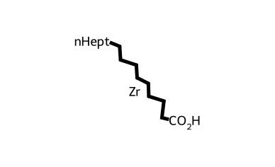 CCCCCCCCCCCCCCCC(=O)O.[Zr]